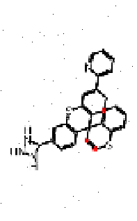 C1=C(c2ccccn2)CCC2=C1Sc1cc(C3NNN3)ccc1C21c2ccccc2Sc2ccccc21